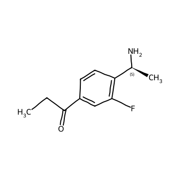 CCC(=O)c1ccc([C@H](C)N)c(F)c1